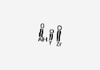 [O]=[AlH].[O]=[Y].[O]=[Zr]